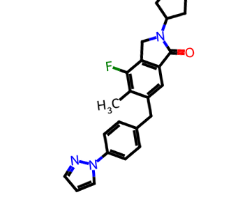 Cc1c(Cc2ccc(-n3cccn3)cc2)cc2c(c1F)CN(C1CCCC1)C2=O